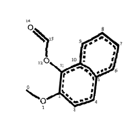 COc1ccc2ccccc2c1OC=O